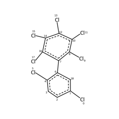 Clc1ccc(Cl)c(-c2c(Cl)c(Cl)c(Cl)c(Cl)c2Cl)c1